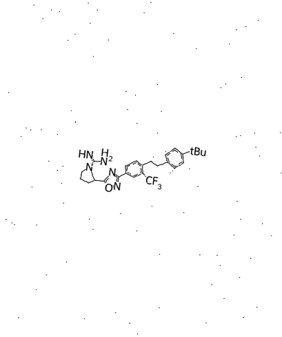 CC(C)(C)c1ccc(CCc2ccc(-c3noc(C4CCCN4C(=N)N)n3)cc2C(F)(F)F)cc1